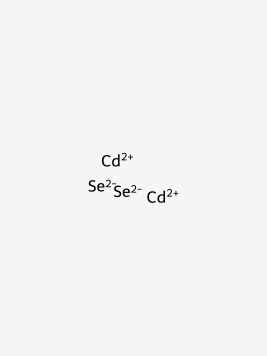 [Cd+2].[Cd+2].[Se-2].[Se-2]